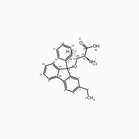 CCc1ccc2c(c1)C(O[C@H](C)[C@H](N)C(=O)O)(c1ccccc1)c1ccccc1-2